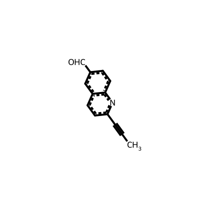 CC#Cc1ccc2cc(C=O)ccc2n1